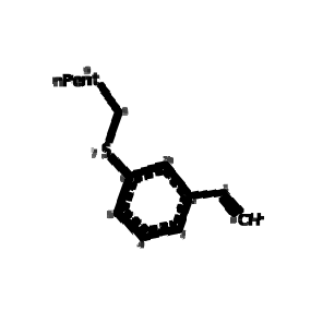 [CH]=Cc1cccc(SCCCCCC)c1